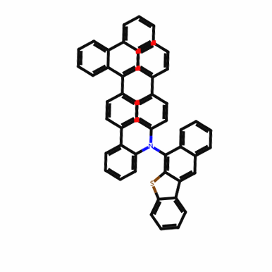 c1ccc(-c2ccc(N(c3ccccc3-c3ccc(-c4cc5ccccc5c5ccccc45)cc3)c3c4ccccc4cc4c3sc3ccccc34)cc2)cc1